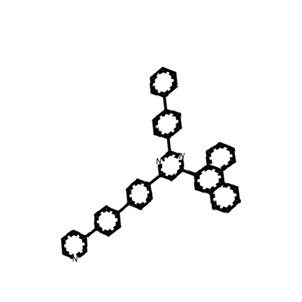 c1ccc(-c2ccc(-c3nc(-c4ccc(-c5ccc(-c6cccnc6)cc5)cc4)cc(-c4cc5ccccc5c5ccccc45)n3)cc2)cc1